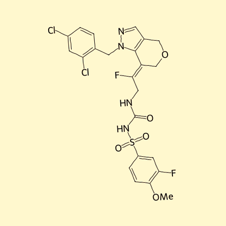 COc1ccc(S(=O)(=O)NC(=O)NC/C(F)=C2\COCc3cnn(Cc4ccc(Cl)cc4Cl)c32)cc1F